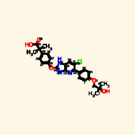 CC(C)(O)COc1ccc(-c2nc3nc(Oc4ccc(C(C)(C)C(=O)O)cc4)[nH]c3cc2Cl)cc1